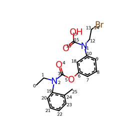 CCN(C(=O)Oc1cccc(N(CCBr)C(=O)O)c1)c1ccccc1C